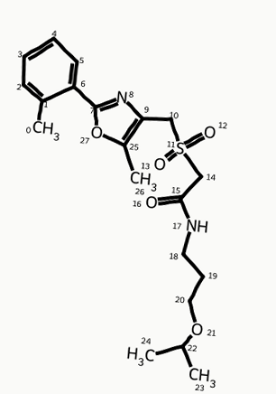 Cc1ccccc1-c1nc(CS(=O)(=O)CC(=O)NCCCOC(C)C)c(C)o1